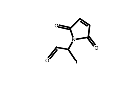 O=[C]C(I)N1C(=O)C=CC1=O